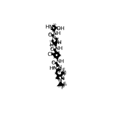 O=C(Nc1ccc(C(=O)NC2[C@H]3CN(C(=O)N[C@H]4CNC[C@@H]4O)C[C@@H]23)c(Cl)c1)c1ncc(Cc2cn([C@@H]3CC3(F)F)nc2C(F)(F)F)[nH]1